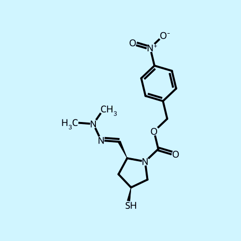 CN(C)/N=C/[C@@H]1C[C@H](S)CN1C(=O)OCc1ccc([N+](=O)[O-])cc1